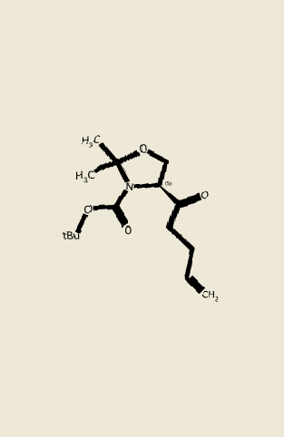 C=CCCC(=O)[C@@H]1COC(C)(C)N1C(=O)OC(C)(C)C